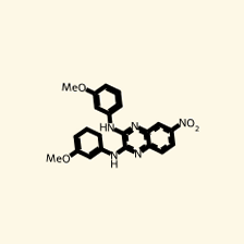 COC1=CCCC(Nc2nc3ccc([N+](=O)[O-])cc3nc2NC2=C=C=CC(OC)=C2)=C1